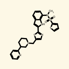 CN(c1cccc2cc(-c3ncc(CN4CCCC(c5ccccn5)C4)s3)[nH]c12)S(=O)(=O)c1cccs1